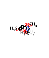 COC(=O)N1CC[N+](C(=O)O)(C(C)(C)C)CC1C(=O)c1ccc2cc(OC)ccc2c1